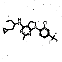 CCC(CC1CC1)Nc1nc(C)nc2c1CCN2c1ccc(C(F)(F)F)cc1Cl